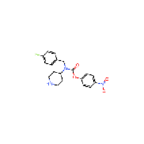 O=C(Oc1ccc([N+](=O)[O-])cc1)N(Cc1ccc(F)cc1)C1CCNCC1